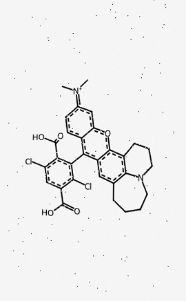 C[N+](C)=c1ccc2c(-c3c(Cl)c(C(=O)O)cc(Cl)c3C(=O)O)c3cc4c5c(c3oc-2c1)CCCN5CCCC4